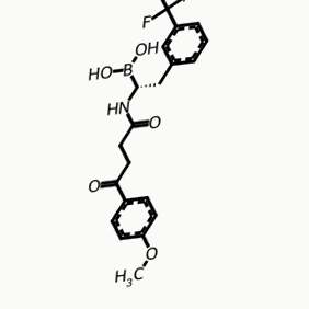 COc1ccc(C(=O)CCC(=O)N[C@@H](Cc2cccc(C(F)(F)F)c2)B(O)O)cc1